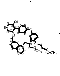 COCCCOc1ccc(Oc2ccc(C3C(O)CNCC3OCc3ccc4c(c3)N(CCCOC)CCO4)cc2)cc1